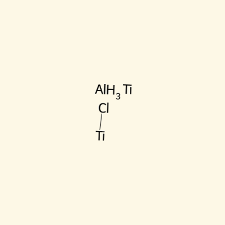 [AlH3].[Cl][Ti].[Ti]